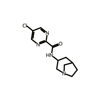 O=C(NC1CC2CCN(C2)C1)c1ncc(Cl)cn1